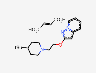 CC(C)(C)C1CCN(CCOc2cc3ccccn3n2)CC1.O=C(O)C=CC(=O)O